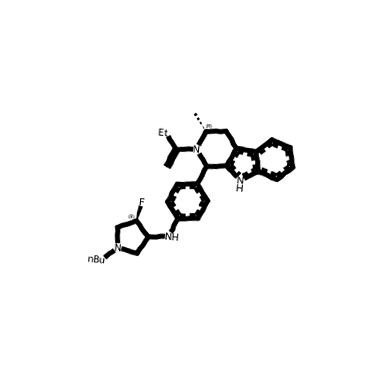 C=C(CC)N1C(c2ccc(NC3CN(CCCC)C[C@H]3F)cc2)c2[nH]c3ccccc3c2C[C@H]1C